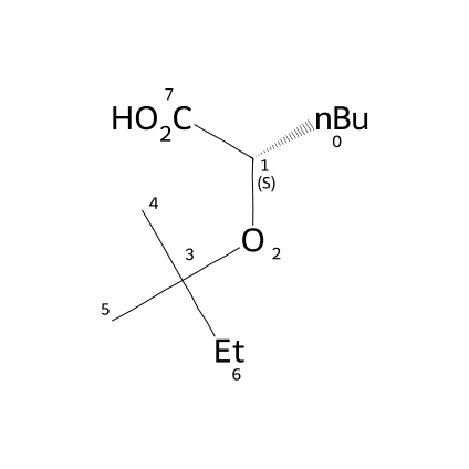 CCCC[C@H](OC(C)(C)CC)C(=O)O